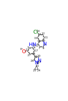 COc1cc(Nc2ccnc3ccc(Cl)cc23)cc(-c2cnn(C3CC3)c2)c1